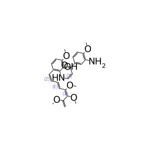 C=C(OC)\C(OC)=C(/C=C/C=C\c1ccc(OC)c(O)c1N/C=C\C(=O)c1ccc(OC)c(N)c1)OC